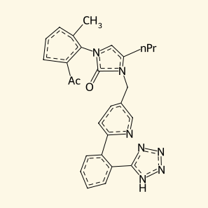 CCCc1cn(-c2c(C)cccc2C(C)=O)c(=O)n1Cc1ccc(-c2ccccc2-c2nnn[nH]2)nc1